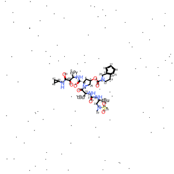 CCCC(NC(=O)[C@@H]1CC(OC(=O)N2CCc3ccccc3C2)CN1C(=O)[C@@H](NC(=O)N[C@H](CN(C)S(C)(=O)=O)C(C)(C)C)C(C)(C)C)C(=O)C(=O)NC1CC1